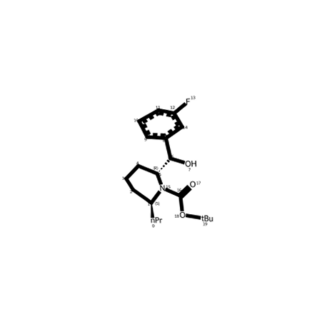 CCC[C@H]1CCC[C@H](C(O)c2cccc(F)c2)N1C(=O)OC(C)(C)C